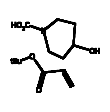 C=CC(=O)OC(C)(C)C.O=C(O)N1CCC(O)CC1